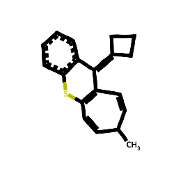 CC1C=CC2=C(C=C1)C(=C1CCC1)c1ccccc1S2